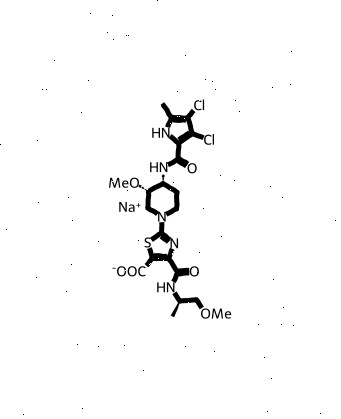 COC[C@@H](C)NC(=O)c1nc(N2CC[C@@H](NC(=O)c3[nH]c(C)c(Cl)c3Cl)[C@@H](OC)C2)sc1C(=O)[O-].[Na+]